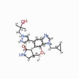 C[C@@H](Oc1cc(-c2cnn(CC(C)(C)O)c2)cc2ncn(CC3CC3)c12)[C@H]1CNC(=O)C1